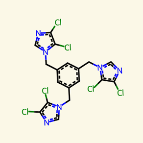 Clc1ncn(Cc2cc(Cn3cnc(Cl)c3Cl)cc(Cn3cnc(Cl)c3Cl)c2)c1Cl